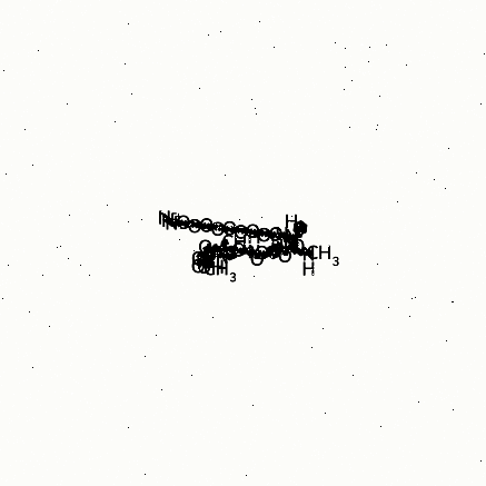 CCc1c2c(nc3ccc(OCCCNC(=O)OCc4ccc(NC(=O)[C@H](CCCCNC)NC(=O)[C@H](Cc5ccccc5)NC(=O)CCOCCOCCOCCOCCOCCOCCOCCOCCOCCN=[N+]=[N-])cc4)cc13)-c1cc3c(c(=O)n1C2)COC(=O)[C@]3(O)CC